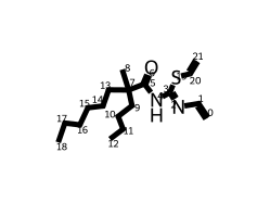 C=C/N=C(/NC(=O)C(C)(CCCC)CCCCCC)SC=C